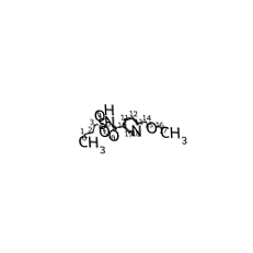 CCCCS(=O)(=O)NC(=O)c1ccc(COCC)nc1